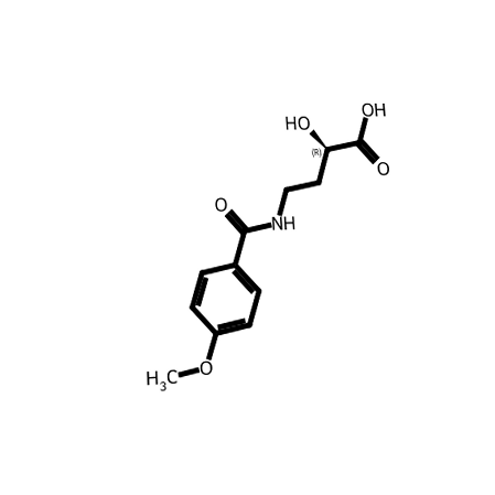 COc1ccc(C(=O)NCC[C@@H](O)C(=O)O)cc1